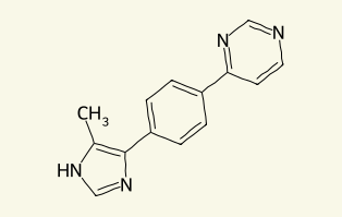 Cc1[nH]cnc1-c1ccc(-c2ccncn2)cc1